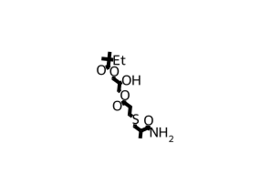 CCC(C)(C)C(=O)OCC(O)COC(=O)CCSCC(C)C(N)=O